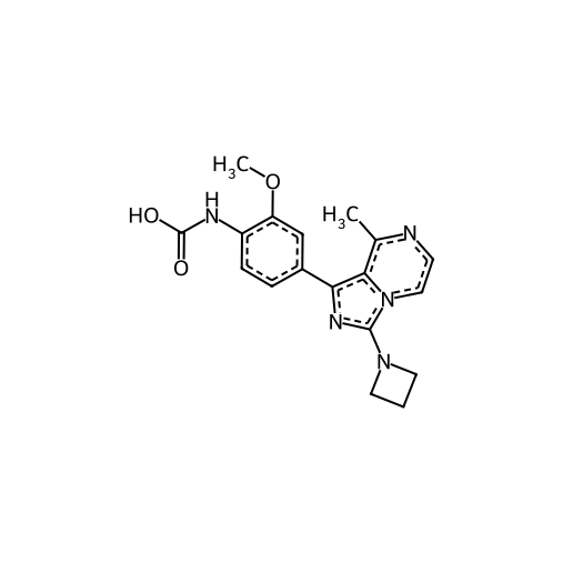 COc1cc(-c2nc(N3CCC3)n3ccnc(C)c23)ccc1NC(=O)O